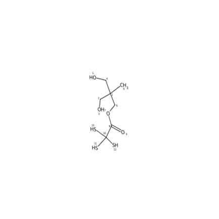 CC(CO)(CO)COC(=O)C(S)(S)S